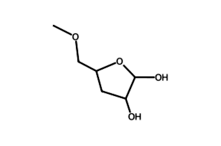 COCC1CC(O)C(O)O1